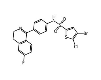 O=S(=O)(Nc1ccc(C2=NCCc3cc(F)ccc32)cc1)c1cc(Br)c(Cl)s1